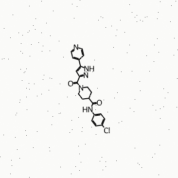 O=C(Nc1ccc(Cl)cc1)C1CCN(C(=O)c2cc(-c3ccncc3)[nH]n2)CC1